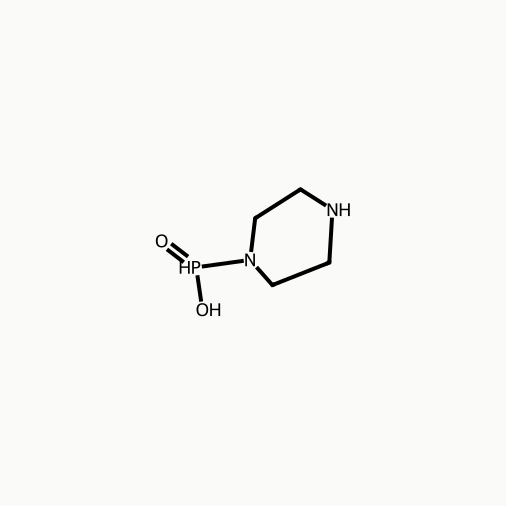 O=[PH](O)N1CCNCC1